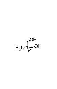 CC1(CO)CC1O